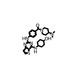 CN(C)C1CCN(C(=O)c2ccc(Nc3nc(NC4CCC(O)CC4)c4sccc4n3)cc2)CC1